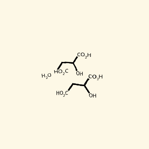 O.O=C(O)CC(O)C(=O)O.O=C(O)CC(O)C(=O)O